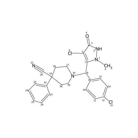 Cn1[nH]c(=O)c(Cl)c1C(c1ccc(Cl)cc1)N1CCC(C#N)(c2ccccc2)CC1